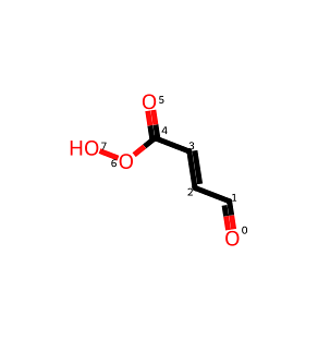 O=CC=CC(=O)OO